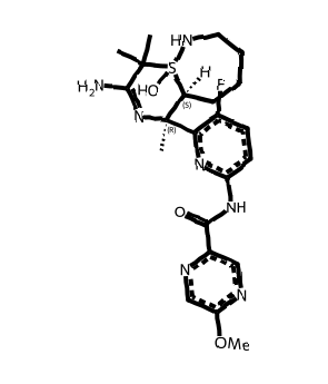 COc1cnc(C(=O)Nc2ccc(F)c([C@@]3(C)N=C(N)C(C)(C)S4(O)NCCCC[C@@H]34)n2)cn1